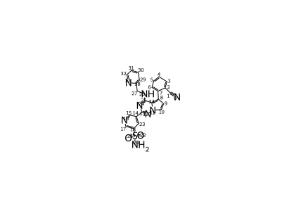 N#Cc1ccccc1-c1ccn2nc(-c3cncc(S(N)(=O)=O)c3)nc(NCc3ccccn3)c12